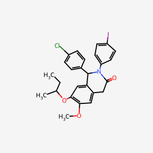 CCC(C)Oc1cc2c(cc1OC)CC(=O)N(c1ccc(I)cc1)C2c1ccc(Cl)cc1